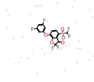 O=C1c2c(S(=O)(=O)C(F)F)ccc(Oc3cc(F)cc(F)c3)c2OC1(F)F